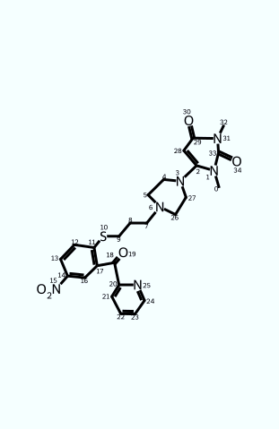 Cn1c(N2CCN(CCCSc3ccc([N+](=O)[O-])cc3C(=O)c3ccccn3)CC2)cc(=O)n(C)c1=O